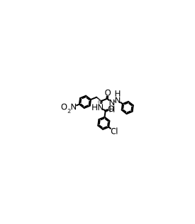 O=C(N[C@@H](Cc1ccc([N+](=O)[O-])cc1)C(=O)NNc1ccccc1)c1cccc(Cl)c1